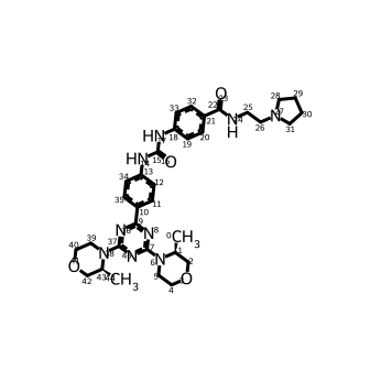 C[C@H]1COCCN1c1nc(-c2ccc(NC(=O)Nc3ccc(C(=O)NCCN4CCCC4)cc3)cc2)nc(N2CCOC[C@@H]2C)n1